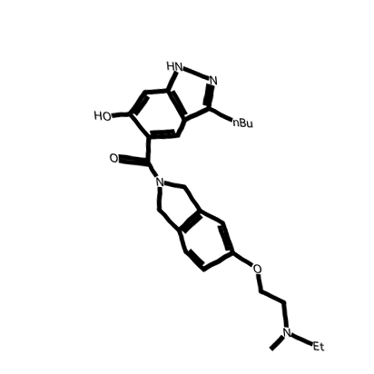 CCCCc1n[nH]c2cc(O)c(C(=O)N3Cc4ccc(OCCN(C)CC)cc4C3)cc12